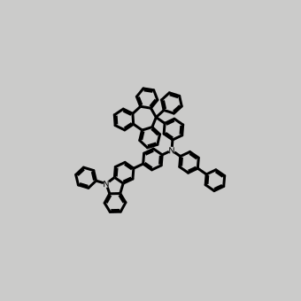 c1ccc(-c2ccc(N(c3ccc(-c4ccc5c(c4)c4ccccc4n5-c4ccccc4)cc3)c3cccc(C4(c5ccccc5)c5ccccc5-c5ccccc5-c5ccccc54)c3)cc2)cc1